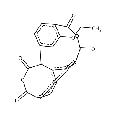 CCOc1cc2ccc1C(=O)OC(=O)c1cc3ccc1C(=O)OC(=O)C23